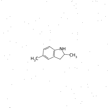 Cc1ccc2c(c1)CC(C)N2